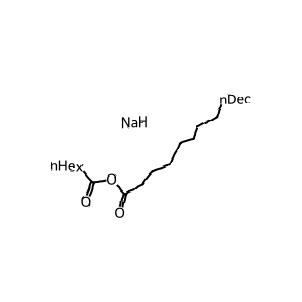 CCCCCCCCCCCCCCCCCC(=O)OC(=O)CCCCCC.[NaH]